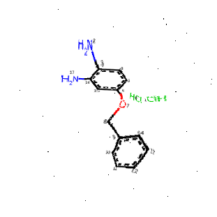 Cl.Cl.Nc1ccc(OCc2ccccc2)cc1N